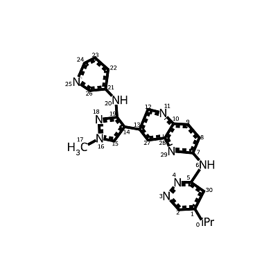 CC(C)c1cnnc(Nc2ccc3ncc(-c4cn(C)nc4Nc4cccnc4)cc3n2)c1